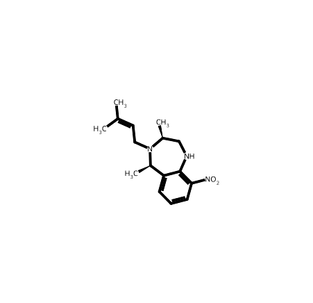 CC(C)=CCN1[C@H](C)c2cccc([N+](=O)[O-])c2NC[C@@H]1C